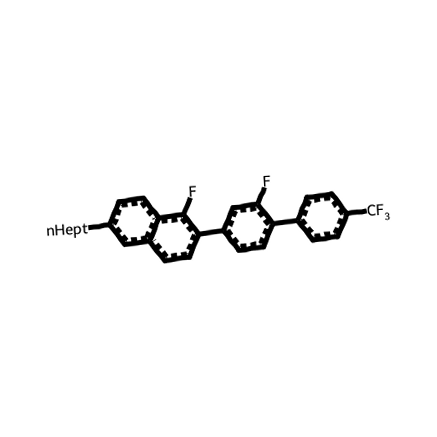 CCCCCCCc1ccc2c(F)c(-c3ccc(-c4ccc(C(F)(F)F)cc4)c(F)c3)ccc2c1